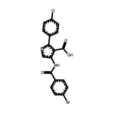 O=C(Nc1csc(-c2ccc(Cl)cc2)c1C(=O)O)c1ccc(Br)cc1